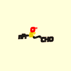 CCC[S+]([O-])CCC=O